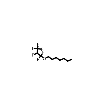 CCCCCCCOC(F)(F)C(F)C(F)(F)F